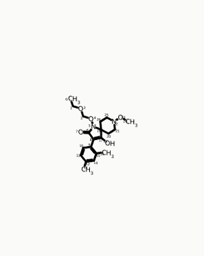 CCOCON1C(=O)C(c2ccc(C)cc2C)=C(O)C12CCN(OC)CC2